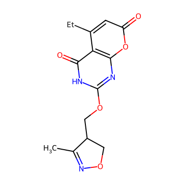 CCc1cc(=O)oc2nc(OCC3CON=C3C)[nH]c(=O)c12